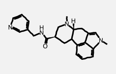 CN1C[C@H](C(=O)NCc2cccnc2)CC2c3cccc4c3c(cn4C)C[C@H]21